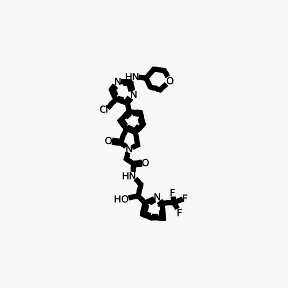 O=C(CN1Cc2ccc(-c3nc(NC4CCOCC4)ncc3Cl)cc2C1=O)NCC(O)c1cccc(C(F)(F)F)n1